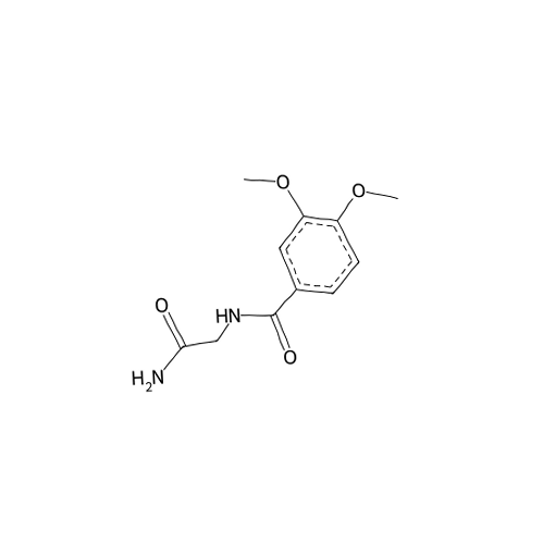 COc1ccc(C(=O)NCC(N)=O)cc1OC